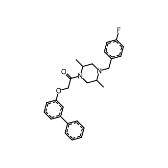 CC1CN(C(=O)COc2cccc(-c3ccccc3)c2)C(C)CN1Cc1ccc(F)cc1